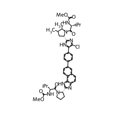 COC(=O)N[C@H](C(=O)N1CCC[C@H]1c1nc2ccc3cc(-c4ccc(-c5[nH]c([C@@H]6CC(C)[C@@H](C)N6C(=O)[C@@H](NC(=O)OC)C(C)C)nc5Cl)cc4)ccc3c2[nH]1)C(C)C